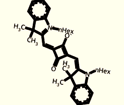 CCCCCCN1/C(=C/C2=C([O-])C(=C\C3=[N+](CCCCCC)c4ccccc4C3(C)C)/C2=O)C(C)(C)c2ccccc21